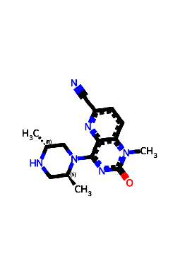 C[C@@H]1CN(c2nc(=O)n(C)c3ccc(C#N)nc23)[C@@H](C)CN1